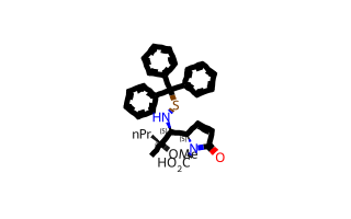 CCC[C@](C)(OC)[C@@H](NSC(c1ccccc1)(c1ccccc1)c1ccccc1)[C@@H]1C=CC(=O)N1C(=O)O